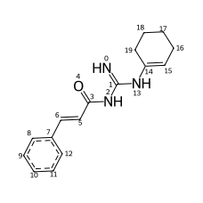 N=C(NC(=O)C=Cc1ccccc1)NC1=CCCCC1